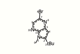 Cn1c(C(C)(C)C)cc2nc(Br)cnc21